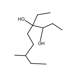 CCC(C)CCC(O)(CC)C(O)CC